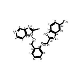 Cc1nc2cnccc2n1OCc1ccccc1SCc1nc2cc(F)ccc2s1